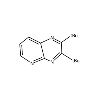 CC(C)(C)c1nc2cccnc2nc1C(C)(C)C